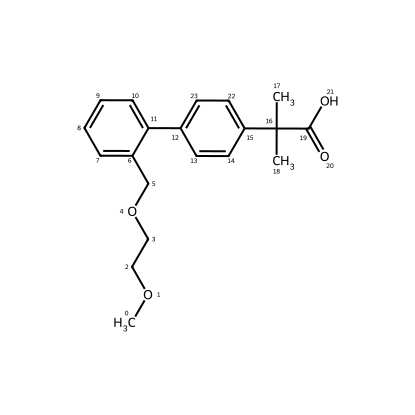 COCCOCc1ccccc1-c1ccc(C(C)(C)C(=O)O)cc1